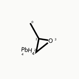 CC1CO1.[PbH4]